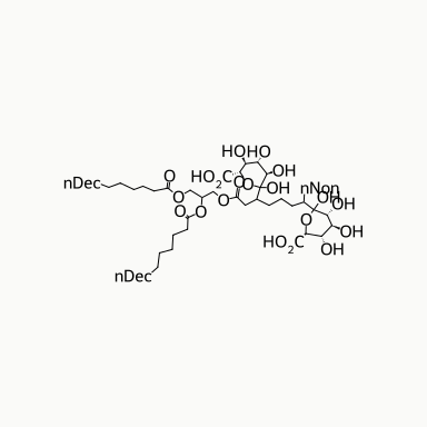 CCCCCCCCCCCCCCCC(=O)OCC(COC(=O)CC(CCCC(CCCCCCCCC)C1(O)O[C@H](C(=O)O)[C@@H](O)[C@H](O)[C@H]1O)C1(O)O[C@H](C(=O)O)[C@@H](O)[C@H](O)[C@H]1O)OC(=O)CCCCCCCCCCCCCCC